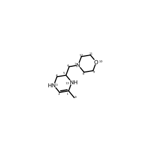 CC1=CNCC(CN2CCOCC2)N1